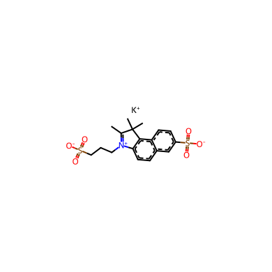 CC1=[N+](CCCS(=O)(=O)[O-])c2ccc3cc(S(=O)(=O)[O-])ccc3c2C1(C)C.[K+]